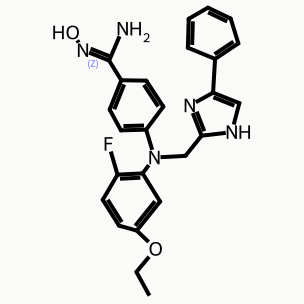 CCOc1ccc(F)c(N(Cc2nc(-c3ccccc3)c[nH]2)c2ccc(/C(N)=N/O)cc2)c1